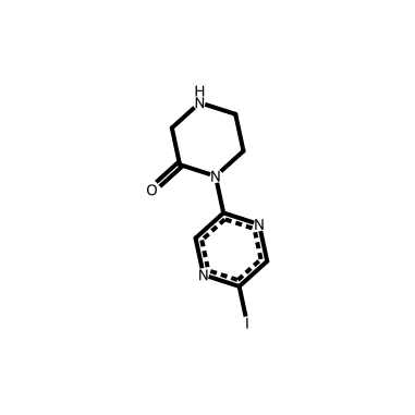 O=C1CNCCN1c1cnc(I)cn1